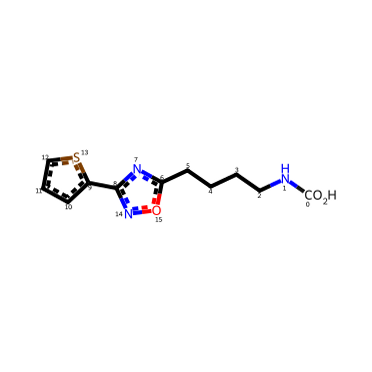 O=C(O)NCCCCc1nc(-c2cccs2)no1